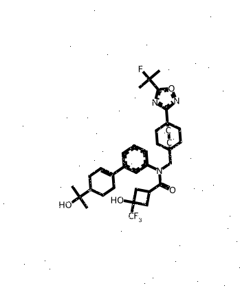 CC(C)(F)c1nc(C23CCC(CN(C(=O)C4CC(O)(C(F)(F)F)C4)c4cccc(C5=CCC(C(C)(C)O)CC5)c4)(CC2)CC3)no1